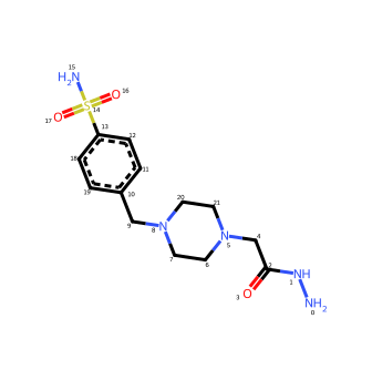 NNC(=O)CN1CCN(Cc2ccc(S(N)(=O)=O)cc2)CC1